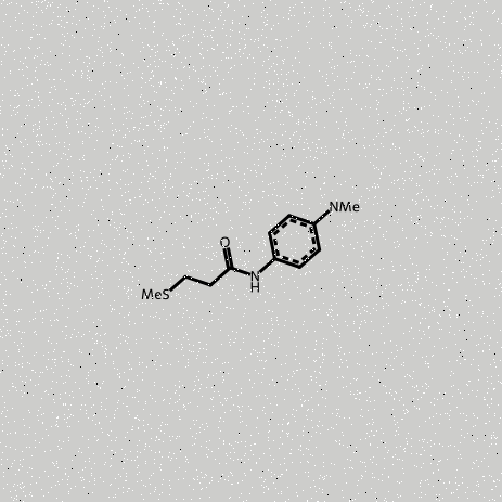 CNc1ccc(NC(=O)CCSC)cc1